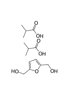 CC(C)C(=O)O.CC(C)C(=O)O.OCc1ccc(CO)o1